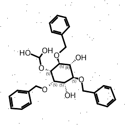 OC(O)O[C@@H]1[C@@H](OCc2ccccc2)[C@H](O)[C@@H](OCc2ccccc2)[C@H](O)[C@@H]1OCc1ccccc1